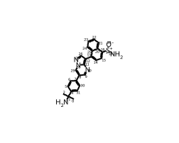 CC(C)(N)c1ccc(-c2cnc3c(-c4ccc([S+](N)[O-])c5ccccc45)cnn3c2)cc1